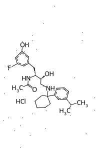 CC(=O)N[C@@H](Cc1cc(O)cc(F)c1)[C@@H](O)CNC1(c2cccc(C(C)C)c2)CCCCC1.Cl